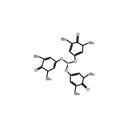 CC(C)(C)C1=CC(OP(OC2=CC(C(C)(C)C)C(=O)C(C(C)(C)C)=C2)OC2=CC(C(C)(C)C)C(=O)C(C(C)(C)C)=C2)=CC(C(C)(C)C)C1=O